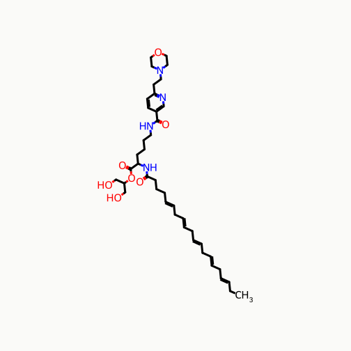 CCC=CCC=CCC=CCC=CCC=CCCCC(=O)NC(CCCCNC(=O)c1ccc(CCN2CCOCC2)nc1)C(=O)OC(CO)CO